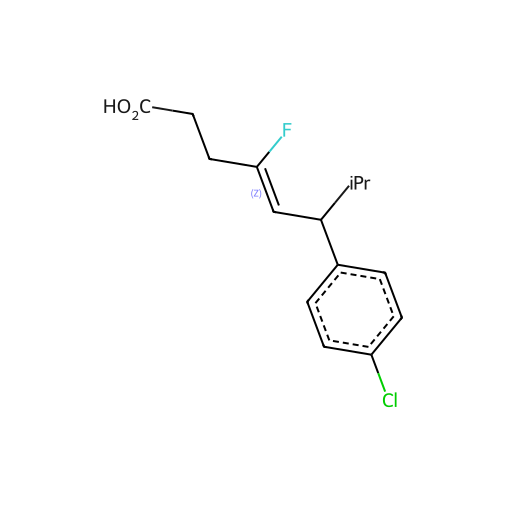 CC(C)C(/C=C(\F)CCC(=O)O)c1ccc(Cl)cc1